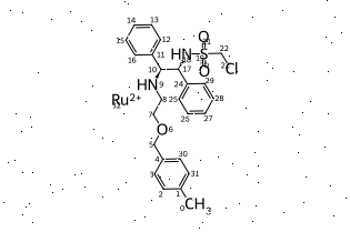 Cc1ccc(COCCN[C@@H](c2ccccc2)[C@@H](NS(=O)(=O)CCl)c2ccccc2)cc1.[Ru+2]